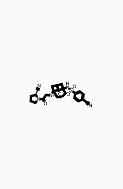 N#Cc1ccc(S(=O)(=O)NC23CC4CC5(NCC(=O)N6CCC[C@H]6C#N)CC(C2)C53C4)cc1